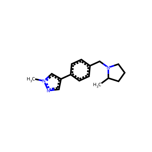 CC1CCCN1Cc1ccc(-c2cnn(C)c2)cc1